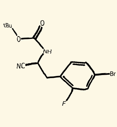 CC(C)(C)OC(=O)NC(C#N)Cc1ccc(Br)cc1F